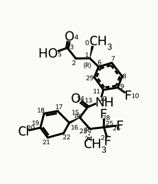 C[C@H](CC(=O)O)c1ccc(F)c(NC(=O)[C@H](C2C=CC(Cl)=CC2)[C@@H](C)C(F)(F)F)c1